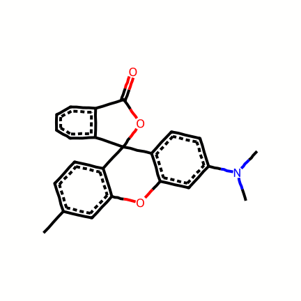 Cc1ccc2c(c1)Oc1cc(N(C)C)ccc1C21OC(=O)c2ccccc21